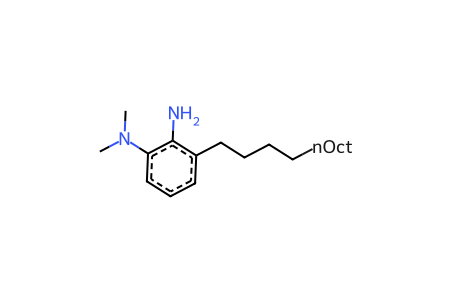 CCCCCCCCCCCCc1cccc(N(C)C)c1N